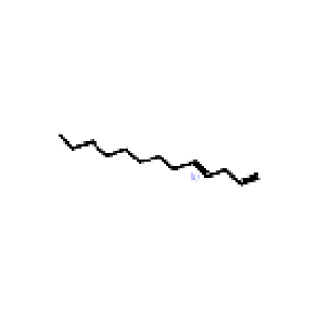 C=CC/C=C/CCCCCCCC